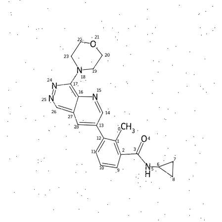 Cc1c(C(=O)NC2CC2)cccc1-c1cnc2c(N3CCOCC3)nncc2c1